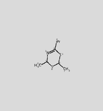 CC1N=C(C(C)C)SC(C)S1